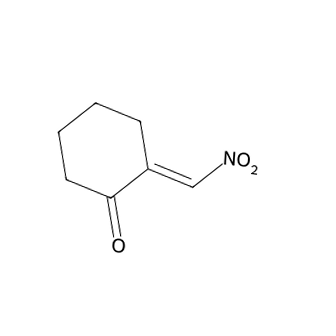 O=C1CCCCC1=C[N+](=O)[O-]